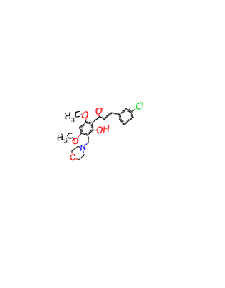 COc1cc(OC)c(C(=O)/C=C/c2cccc(Cl)c2)c(O)c1CN1CCOCC1